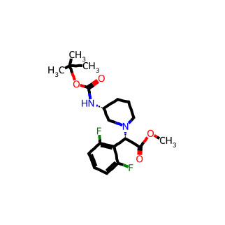 COC(=O)[C@H](c1c(F)cccc1F)N1CCC[C@@H](NC(=O)OC(C)(C)C)C1